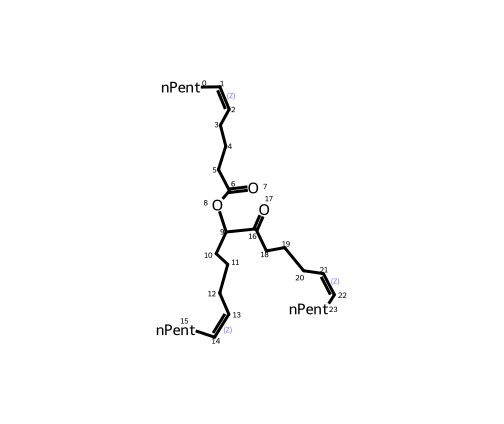 CCCCC/C=C\CCCC(=O)OC(CCC/C=C\CCCCC)C(=O)CCC/C=C\CCCCC